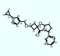 O=C1N2C(CC[C@H]2c2cnccn2)OC12CC(OCc1cnn(C3CC3)c1)C2